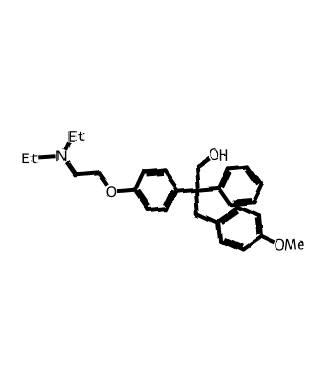 CCN(CC)CCOc1ccc(C(CO)(Cc2ccc(OC)cc2)c2ccccc2)cc1